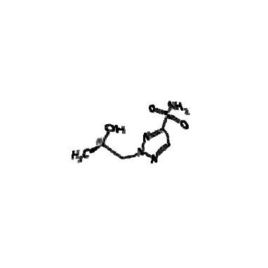 C[C@@H](O)Cn1ncc(S(N)(=O)=O)n1